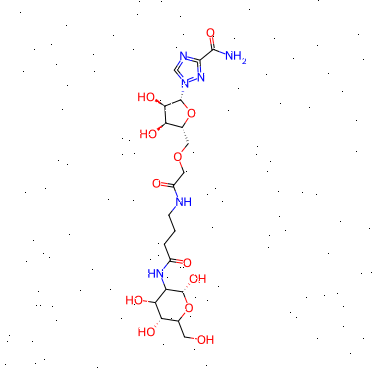 NC(=O)c1ncn([C@@H]2O[C@H](COCC(=O)NCCCC(=O)NC3C(O)[C@@H](O)C(CO)O[C@H]3O)[C@@H](O)[C@H]2O)n1